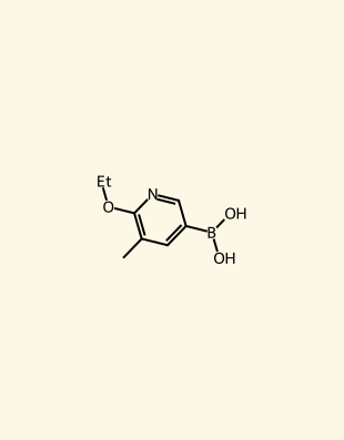 CCOc1ncc(B(O)O)cc1C